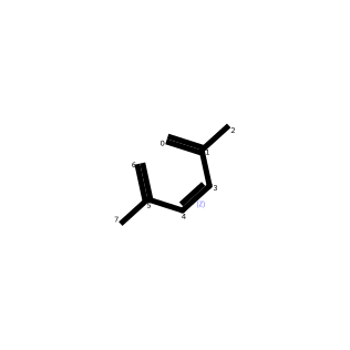 C=C(C)/C=C\C(=C)C